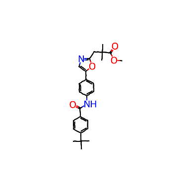 COC(=O)C(C)(C)Cc1ncc(-c2ccc(NC(=O)c3ccc(C(C)(C)C)cc3)cc2)o1